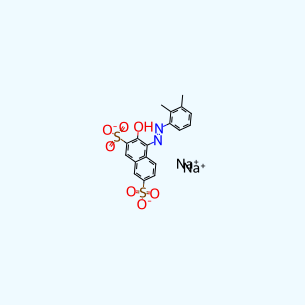 Cc1cccc(/N=N/c2c(O)c(S(=O)(=O)[O-])cc3cc(S(=O)(=O)[O-])ccc23)c1C.[Na+].[Na+]